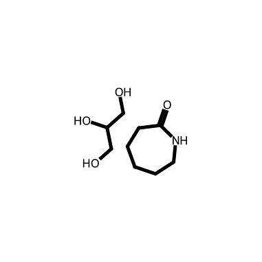 O=C1CCCCCN1.OCC(O)CO